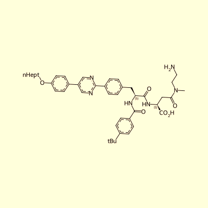 CCCCCCCOc1ccc(-c2cnc(-c3ccc(C[C@H](NC(=O)c4ccc(C(C)(C)C)cc4)C(=O)N[C@@H](CC(=O)N(C)CCN)C(=O)O)cc3)nc2)cc1